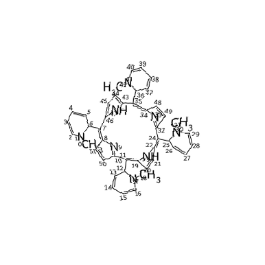 CN1C=CC=CC1c1c2nc(c(C3C=CC=CN3C)c3ccc([nH]3)c(C3C=CC=CN3C)c3nc(c(C4C=CC=CN4C)c4ccc1[nH]4)C=C3)C=C2